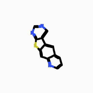 c1cnc2cc3sc4ncncc4c3cc2c1